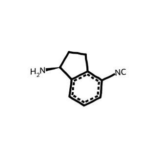 [C-]#[N+]c1cccc2c1CC[C@@H]2N